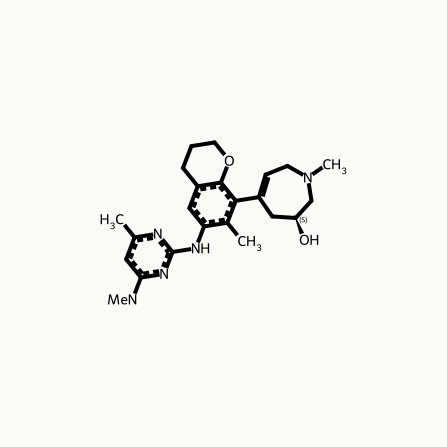 CNc1cc(C)nc(Nc2cc3c(c(C4=CCN(C)C[C@@H](O)C4)c2C)OCCC3)n1